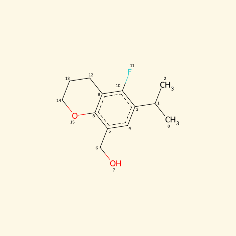 CC(C)c1cc(CO)c2c(c1F)CCCO2